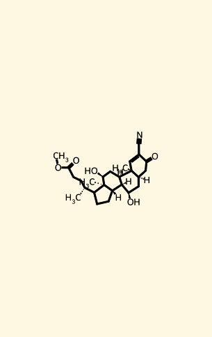 COC(=O)CC[C@@H](C)C1CC[C@H]2[C@@H]3[C@H](O)C[C@@H]4CC(=O)C(C#N)=C[C@]4(C)[C@H]3C[C@H](O)[C@]12C